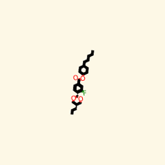 CCCCCC1CCC(OC(=O)c2ccc([C@H]3OC[C@H](CCC)CO3)c(F)c2)CC1